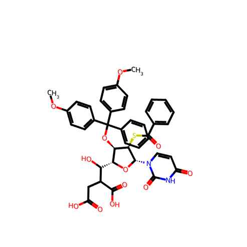 COc1ccc(C(O[C@H]2[C@@H](SC(=O)c3ccccc3)[C@H](n3ccc(=O)[nH]c3=O)O[C@@H]2C(O)C(CC(=O)O)C(=O)O)(c2ccccc2)c2ccc(OC)cc2)cc1